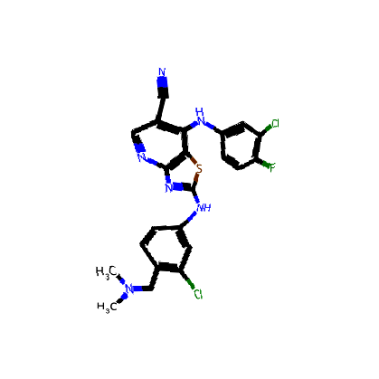 CN(C)Cc1ccc(Nc2nc3ncc(C#N)c(Nc4ccc(F)c(Cl)c4)c3s2)cc1Cl